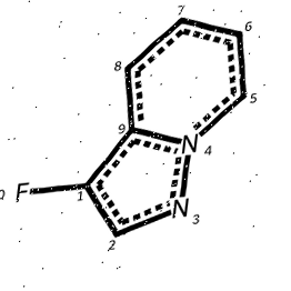 Fc1[c]nn2ccccc12